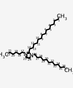 CCCCCCCCCCCCCCCc1n(CCCCCC)cc[n+]1CCCCCCCCCCCC